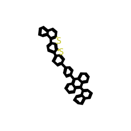 c1ccc2c(-c3c4ccccc4c(-c4ccc(-c5ccc6c(c5)sc5c6ccc6c5sc5ccc7ccccc7c56)cc4)c4ccccc34)cccc2c1